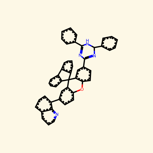 c1ccc(C2=NC(c3ccc4c(c3)C3(c5cc(-c6cccc7cccnc67)ccc5O4)c4ccccc4-c4ccccc43)=NC(c3ccccc3)N2)cc1